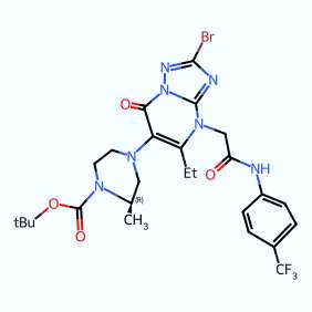 CCc1c(N2CCN(C(=O)OC(C)(C)C)[C@H](C)C2)c(=O)n2nc(Br)nc2n1CC(=O)Nc1ccc(C(F)(F)F)cc1